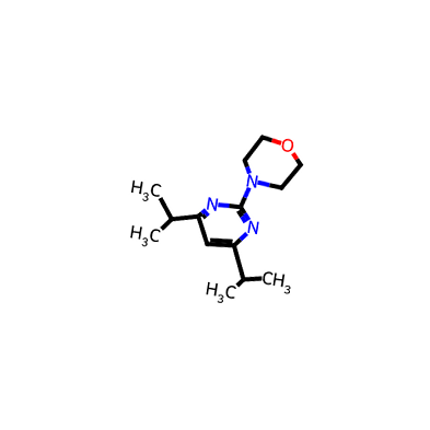 CC(C)c1cc(C(C)C)nc(N2CCOCC2)n1